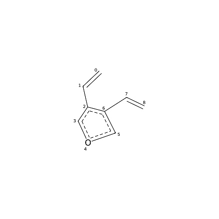 C=Cc1cocc1C=C